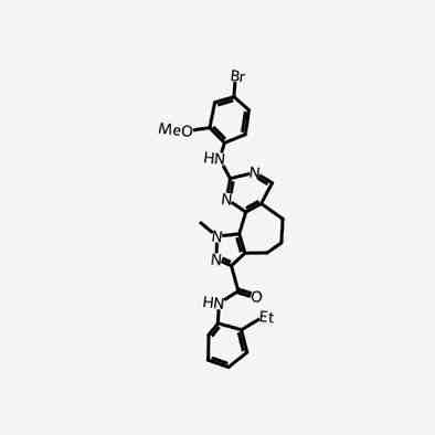 CCc1ccccc1NC(=O)c1nn(C)c2c1CCCc1cnc(Nc3ccc(Br)cc3OC)nc1-2